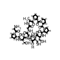 C[C@H](NC(=O)CNC(=O)[C@H](CO)NC(=O)[C@H](CO)NC(=O)[C@@H]1CCCN1C(=O)CN)C(=O)N1CCC[C@H]1C(=O)N1CCC[C@H]1C(=O)N1CCC[C@H]1C(=O)N[C@@H](CO)C(=O)N[C@@H](CS)C(=O)O